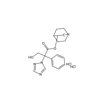 Cl.Cl.O=C(OC1CN2CCC1CC2)C(CO)(c1ccccc1)n1cncn1